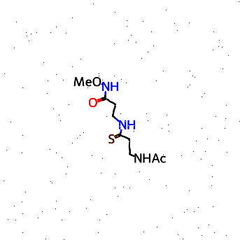 CONC(=O)CCNC(=S)CCNC(C)=O